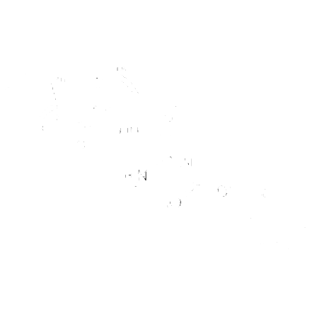 NC(NC(=O)OCc1ccccc1)C(=O)Nc1ccsc1C(=O)c1ccccc1